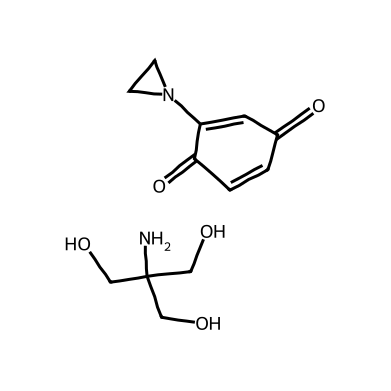 NC(CO)(CO)CO.O=C1C=CC(=O)C(N2CC2)=C1